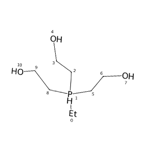 CC[PH](CCO)(CCO)CCO